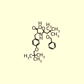 CC(C)(C)COc1ccc(C[C@H](NC(=O)[C@@H](OCc2ccccc2)C(C)(C)C)C(=O)O)cc1